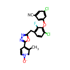 Cc1c[n+]([O-])ccc1-c1nnc(Cc2ccc(Cl)c(Oc3cc(Cl)cc(C#N)c3)c2F)o1